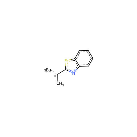 CCCC[C@@H](C)c1nc2ccccc2s1